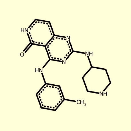 Cc1cccc(Nc2nc(NC3CCNCC3)nc3cc[nH]c(=O)c23)c1